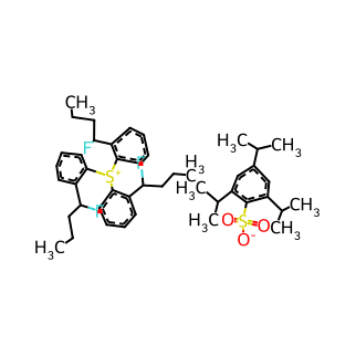 CC(C)c1cc(C(C)C)c(S(=O)(=O)[O-])c(C(C)C)c1.CCCC(F)c1ccccc1[S+](c1ccccc1C(F)CCC)c1ccccc1C(F)CCC